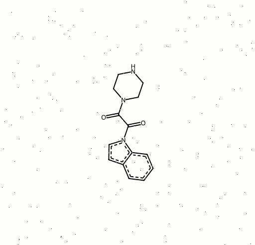 O=C(C(=O)n1ccc2ccccc21)N1CCNCC1